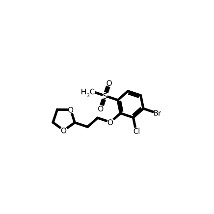 CS(=O)(=O)c1ccc(Br)c(Cl)c1OCCC1OCCO1